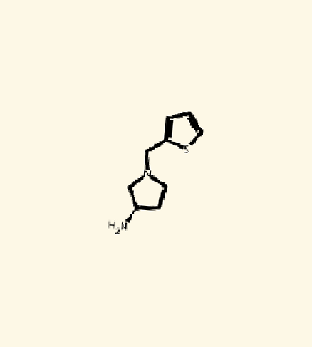 N[C@@H]1CCN(Cc2cccs2)C1